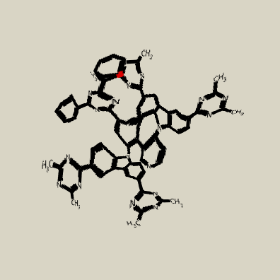 Cc1nc(C)nc(-c2ccc3c(c2)c2cc(-c4nc(C)nc(C)n4)ccc2n3-c2ccncc2-c2ccc(-c3nc(-c4ccccc4)nc(-c4ccccc4)n3)cc2-n2c3ccc(-c4nc(C)nc(C)n4)cc3c3cc(-c4nc(C)nc(C)n4)ccc32)n1